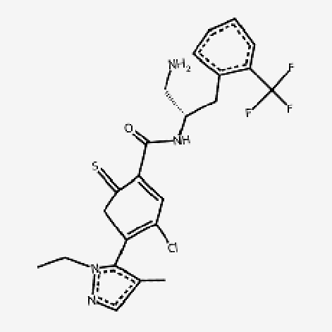 CCn1ncc(C)c1C1=C(Cl)C=C(C(=O)N[C@H](CN)Cc2ccccc2C(F)(F)F)C(=S)C1